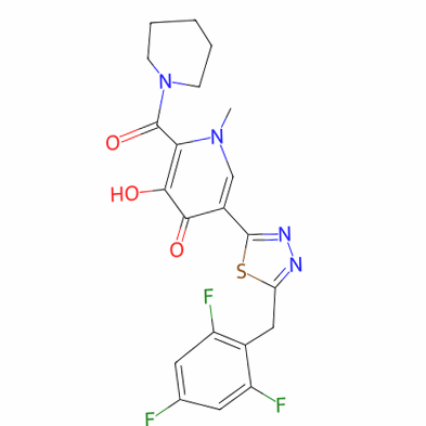 Cn1cc(-c2nnc(Cc3c(F)cc(F)cc3F)s2)c(=O)c(O)c1C(=O)N1CCCCC1